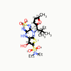 CCN(CC)S(=O)(=O)c1scc(NC2=NS(=O)(=O)N=C2N[C@@H](c2ccc(C)o2)C(C)(C)CC)c1O